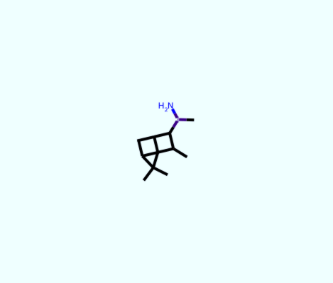 CC1C(I(C)N)C2CC3C(C)(C)C123